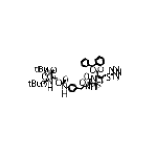 Cn1nnnc1SCC1=C(C(=O)OC(c2ccccc2)c2ccccc2)N2C(=O)[C@@H](NC(=O)Cc3ccc(NC(=O)OC[C@@H](NC(=O)OC(C)(C)C)C(=O)OC(C)(C)C)cc3)[C@@H]2SC1